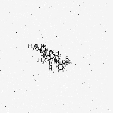 C=C1C=CC(c2ccccc2OC(F)(F)F)=NN1C(C(=O)Nc1ccnc(OC)n1)=C(C)C